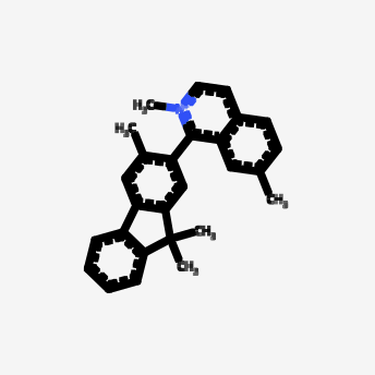 Cc1ccc2cc[n+](C)c(-c3cc4c(cc3C)-c3ccccc3C4(C)C)c2c1